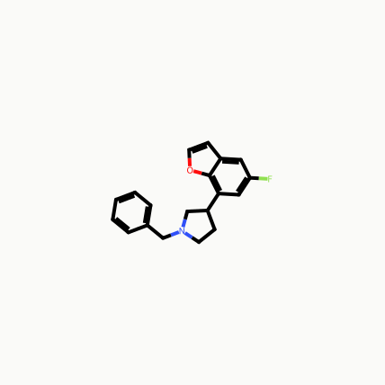 Fc1cc(C2CCN(Cc3ccccc3)C2)c2occc2c1